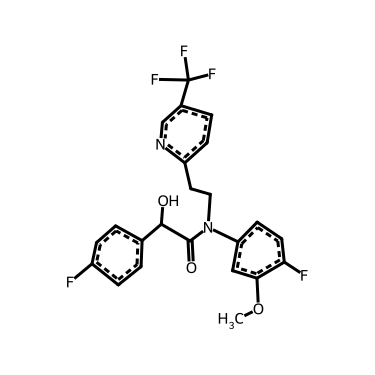 COc1cc(N(CCc2ccc(C(F)(F)F)cn2)C(=O)C(O)c2ccc(F)cc2)ccc1F